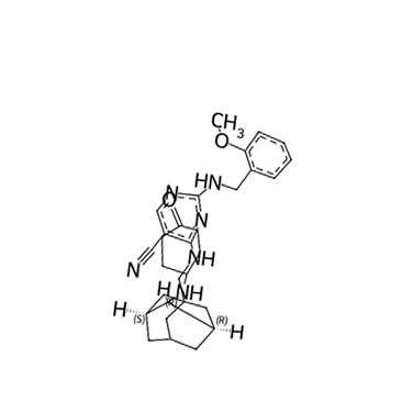 COc1ccccc1CNc1ncc(C#N)c(NCC23CC4C[C@H](C2)[C@H](NC2CCC(=O)CC2)[C@@H](C4)C3)n1